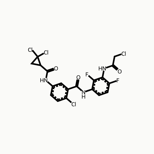 O=C(CCl)Nc1c(F)ccc(NC(=O)c2cc(NC(=O)C3CC3(Cl)Cl)ccc2Cl)c1F